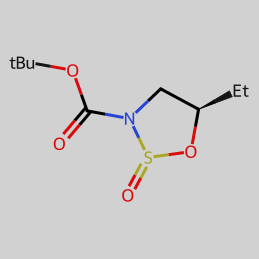 CC[C@@H]1CN(C(=O)OC(C)(C)C)S(=O)O1